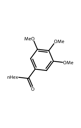 CCCCCCC(=O)c1cc(OC)c(OC)c(OC)c1